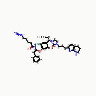 [N-]=[N+]=NCCCCC(=O)NC(Cc1ccccc1)Oc1ccc([C@H](CC(=O)O)N2CCN(CCCc3ccc4c(n3)NCCC4)C2=O)cc1F